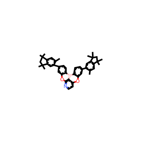 Cc1cc2c(cc1-c1ccc3c(c1)Oc1ccnc4c1B3c1ccc(-c3cc5c(cc3C)C(C)(C)CC5(C)C)cc1O4)C(C)(C)CC2(C)C